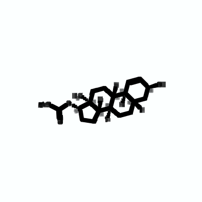 COC(=O)O[C@H]1CC[C@H]2[C@@H]3CC[C@H]4C[C@H](O)C=C[C@@H]4[C@H]3CC[C@]12C